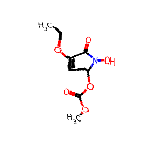 CCOC1=CC(OC(=O)OC)N(O)C1=O